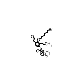 CCCc1c(SC(=O)N(C)C)ccc(CC=O)c1OCCCCCCBr